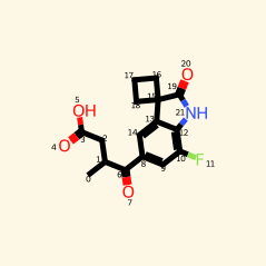 CC(CC(=O)O)C(=O)c1cc(F)c2c(c1)C1(CCC1)C(=O)N2